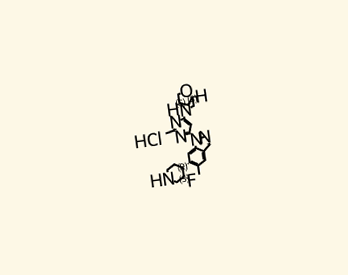 Cc1nc(N2C[C@@H]3C[C@H]2CO3)cc(-n2ncc3cc(C)c([C@H]4CCNC[C@H]4F)cc32)n1.Cl